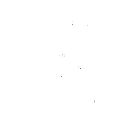 O=c1c2cnccc2nc(Nc2cccnc2)n1-c1ccccc1